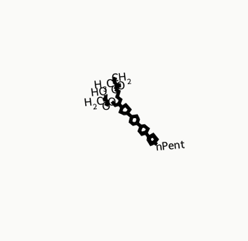 C=C(C)C(=O)OCCCC(COC(=O)C(=C)CO)C1CCC(C2CCC(C3CC=C(c4ccc(CCCCC)cc4)CC3)CC2)CC1